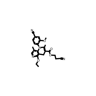 CCOc1ncc(C)c2c1CC(C(=O)OCCC#N)=C(C)N2c1ccc(C#N)cc1OC